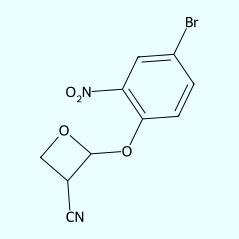 N#CC1COC1Oc1ccc(Br)cc1[N+](=O)[O-]